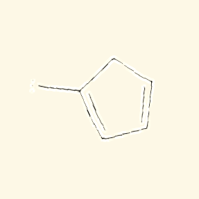 [C]C1=CC=CC1